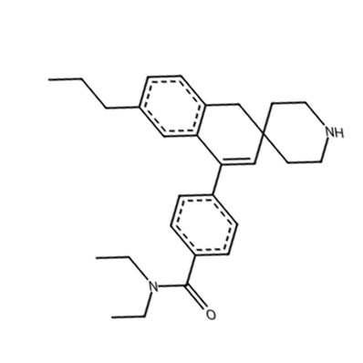 CCCc1ccc2c(c1)C(c1ccc(C(=O)N(CC)CC)cc1)=CC1(CCNCC1)C2